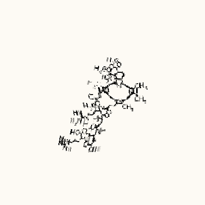 C=Cc1c(C)/c2[nH]/c1=C\C1=NC(Cc3[nH]c(c(C)c3CCC(=O)OC)/C=C3N=C(/C=2)C2=CC=C(C(=O)OC)C(C(=O)OC)C2\3C)C(CCC(=O)NC(CCCNC(=N)N)C(=O)NCC(=O)NC(CC(=O)O)C(=O)N[C@@H](CCCNC(=N)N)C(=O)O)=C1C